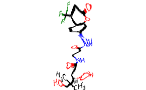 CC(C)(CO)[C@@H](O)C(=O)NCCC(=O)Nc1ccc2c(C(F)(F)F)cc(=O)oc2c1